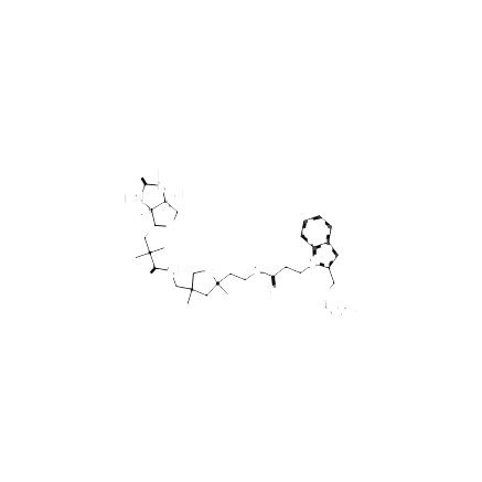 CNOCc1cc2ccccc2n1CCC(=O)NCCC1(C)CC(C)(CNC(=O)C(C)(C)C[C@@H]2SC[C@@H]3NC(=O)N[C@@H]32)CO1